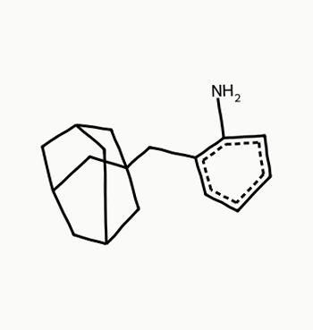 Nc1ccccc1CC12CC3CC(CC(C3)C1)C2